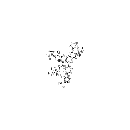 Cc1ncnn1-c1cc([C@@H](COC(=O)NC2(C(F)F)CC2)N(C(=N)NCCC(C)(C)C)C(=O)c2ccc(-c3cnn(C(F)F)c3)cc2)ccc1C(F)(F)F